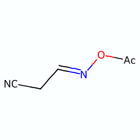 CC(=O)O/N=C/CC#N